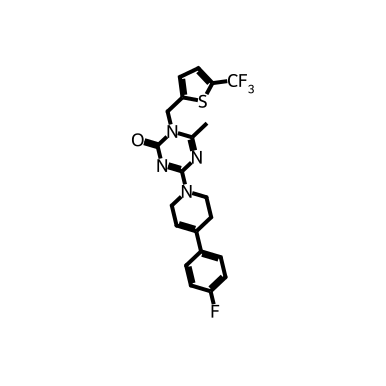 Cc1nc(N2CC=C(c3ccc(F)cc3)CC2)nc(=O)n1Cc1ccc(C(F)(F)F)s1